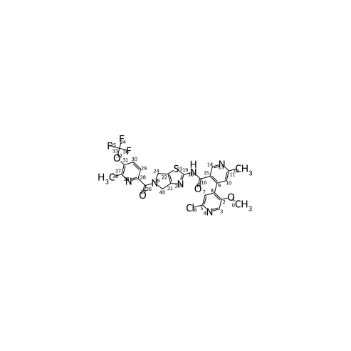 COc1cnc(Cl)cc1-c1cc(C)ncc1C(=O)Nc1nc2c(s1)CN(C(=O)c1ccc(OC(F)(F)F)c(C)n1)C2